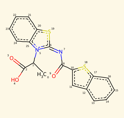 CC(C(=O)O)n1/c(=N\C(=O)c2cc3ccccc3s2)sc2ccccc21